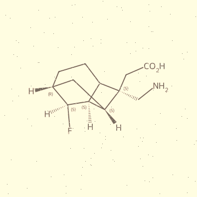 NC[C@@]1(CC(=O)O)C2CC[C@@H]3C[C@H]1[C@H]2[C@H]3F